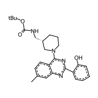 Cc1ccc2c(N3CCC[C@@H](CNC(=O)OC(C)(C)C)C3)nc(-c3ccccc3O)nc2c1